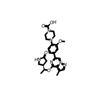 COc1cc(-c2cn3ncc(C)c3c(OC(C)[C@H]3CNC(=O)C3)n2)ccc1N1CCN(C(=O)O)CC1